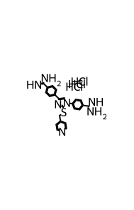 Cl.Cl.Cl.N=C(N)c1ccc(-c2cn(-c3ccc(C(=N)N)cc3)c(SCc3ccncc3)n2)cc1